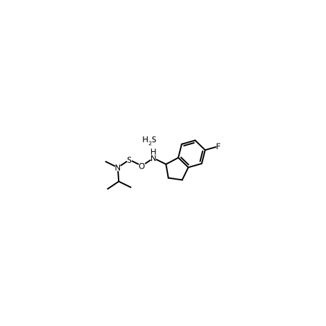 CC(C)N(C)SONC1CCc2cc(F)ccc21.S